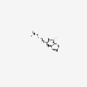 Cc1nc(OCCCN(C)C)nc2cnccc12